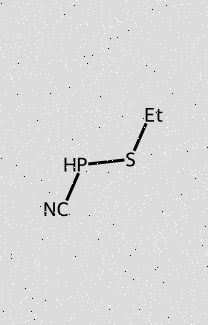 CCSPC#N